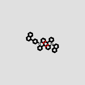 c1ccc(N(c2ccc(-c3cccc4ccccc34)cc2)c2ccccc2-c2ccc(-c3ccccc3N(c3ccccc3)c3cccc4ccccc34)cc2)cc1